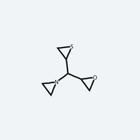 C1OC1C(C1CS1)N1CC1